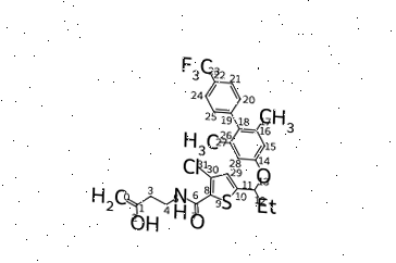 C=C(O)CCNC(=O)c1sc(C(CC)Oc2cc(C)c(-c3ccc(C(F)(F)F)cc3)c(C)c2)cc1Cl